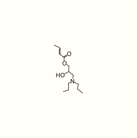 CC=CC(=O)OCC(O)CN(CCC)CCC